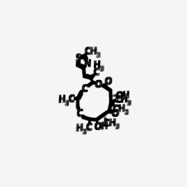 CC(=Cc1csc(C)n1)[C@@H]1C/C=C(/C)CCC[C@H](C)[C@H](O)[C@@H](C)C(=O)C(C)(C)[C@@H](O)CC(=O)O1